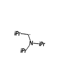 CC(C)[CH]N(C(C)C)C(C)C